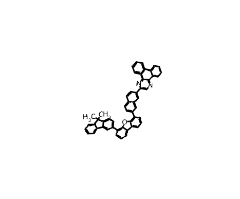 CC1(C)c2ccccc2-c2cc(-c3cccc4c3oc3c(-c5ccc6ccc(-c7cnc8c9ccccc9c9ccccc9c8n7)cc6c5)cccc34)ccc21